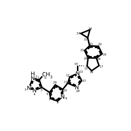 Cc1[nH]nnc1-c1ccnc(-c2cn(C[C@H]3CCc4ccc(C5CC5)cc43)cn2)c1